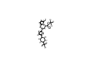 Cc1ccc(CN(CCC(=O)OC(C)(C)C)c2nc(C3CCC(C(C)(C)C)CC3)cs2)s1